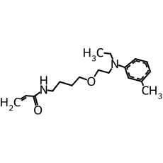 C=CC(=O)NCCCCOCCN(CC)c1cccc(C)c1